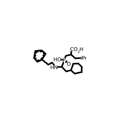 CC(C)CC(CP(=O)(O)C(CC1CCCCC1)NCCc1ccccc1)C(=O)O